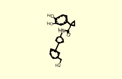 O=C(Nc1ccc(-c2cccc(CO)c2)cc1)C1(c2ccc(O)c(O)c2)CC1